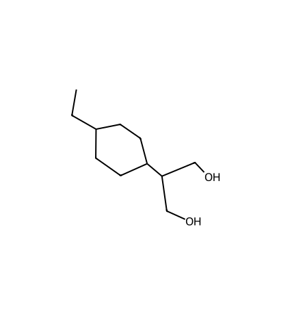 CCC1CCC(C(CO)CO)CC1